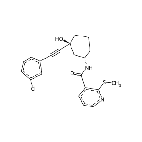 CSc1ncccc1C(=O)N[C@H]1CCC[C@@](O)(C#Cc2cccc(Cl)c2)C1